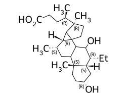 CC[C@H]1C(O)C2C(C[C@H](C)[C@@H]3C4C23CC[C@]4(C)[C@H](C)CCC(=O)O)[C@@]2(C)CC[C@@H](O)C[C@@H]12